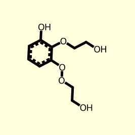 OCCOOc1cccc(O)c1OCCO